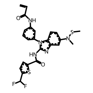 C=CC(=O)Nc1cccc(-n2c(NC(=O)c3ccc(C(F)F)s3)nc3cc(N(C)SC)ccc32)c1